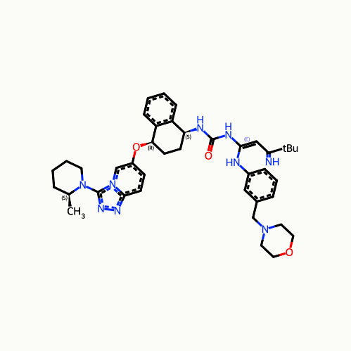 C[C@H]1CCCCN1c1nnc2ccc(O[C@@H]3CC[C@H](NC(=O)N/C(=C/C(=N)C(C)(C)C)Nc4cccc(CN5CCOCC5)c4)c4ccccc43)cn12